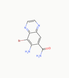 NC(=O)c1cc2nccnc2c(Br)c1N